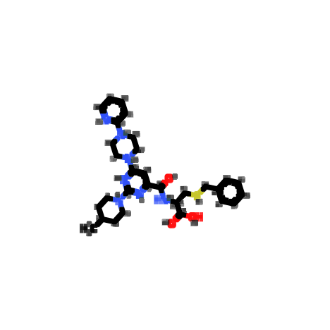 CC1CCN(c2nc(C(=O)N[C@@H](CSCc3ccccc3)C(=O)O)cc(N3CCN(c4ccccn4)CC3)n2)CC1